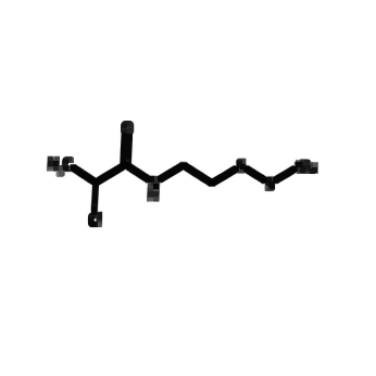 CC(Cl)C(=O)NCCSSC(C)(C)C